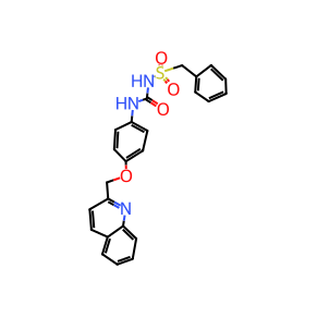 O=C(Nc1ccc(OCc2ccc3ccccc3n2)cc1)NS(=O)(=O)Cc1ccccc1